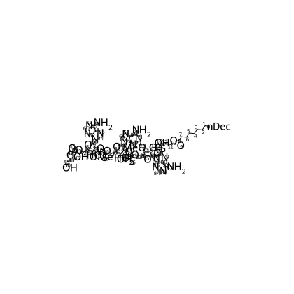 CCCCCCCCCCCCCCCCCC(=O)OCCSP(=O)(O)OC1C(OC)[C@@H](COP(O)(=S)OC2C(O)[C@@H](COP(O)(=S)OC3C(OC)[C@@H](COP(=O)(O)OCCO)O[C@H]3n3cnc4c(N)ncnc43)O[C@H]2n2cnc3c(N)ncnc32)O[C@H]1n1cnc2c(N)ncnc21